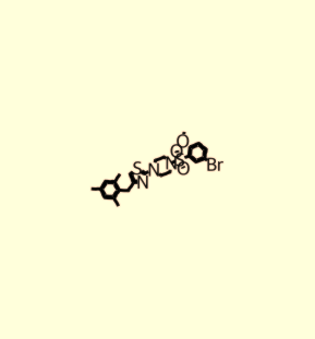 COc1ccc(Br)cc1S(=O)(=O)N1CCN(c2nc(Cc3c(C)cc(C)cc3C)cs2)CC1